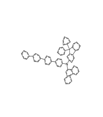 c1ccc(-c2ccc(-c3ccc(-c4ccc(N(c5ccc6c(c5)C(c5ccccc5)(c5ccccc5)c5ccccc5-6)c5cc6ccccc6c6ccccc56)cc4)cc3)cc2)cc1